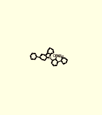 COc1c(-c2ccccc2C=O)cccc1-n1c2ccccc2c2cc(-c3ccccc3)ccc21